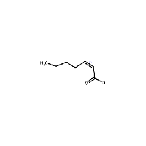 CCCC/C=C\C([O])=O